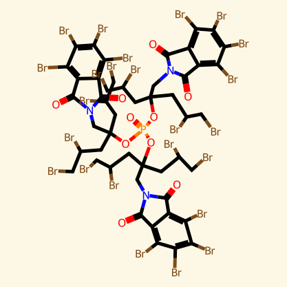 O=C1c2c(Br)c(Br)c(Br)c(Br)c2C(=O)N1CC(CC(Br)CBr)(CC(Br)CBr)OP(=O)(OC(CC(Br)CBr)(CC(Br)CBr)CN1C(=O)c2c(Br)c(Br)c(Br)c(Br)c2C1=O)OC(CC(Br)CBr)(CC(Br)CBr)CN1C(=O)c2c(Br)c(Br)c(Br)c(Br)c2C1=O